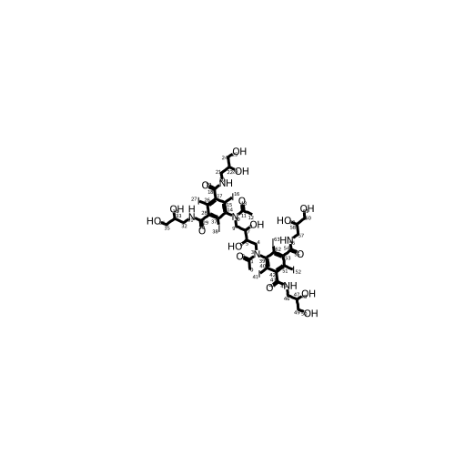 CC(=O)N(CC(O)C(O)CN(C(C)=O)c1c(I)c(C(=O)NCC(O)CO)c(I)c(C(=O)NCC(O)CO)c1I)c1c(I)c(C(=O)NCC(O)CO)c(I)c(C(=O)NCC(O)CO)c1I